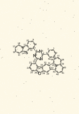 c1ccc(-c2nc(-c3cccc4c3sc3ccccc34)nc(-c3cccc4oc5cc6c(cc5c34)-c3cccc4cccc-6c34)n2)cc1